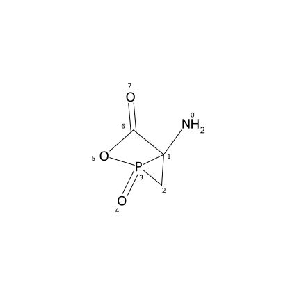 NC12CP1(=O)OC2=O